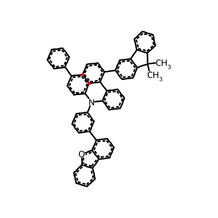 CC1(C)c2ccccc2-c2cc(-c3ccccc3-c3ccccc3N(c3ccc(-c4ccccc4)cc3)c3cccc(-c4cccc5c4oc4ccccc45)c3)ccc21